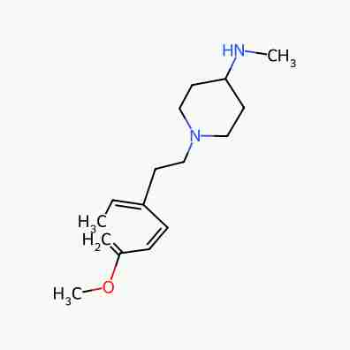 C=C(/C=C\C(=C/C)CCN1CCC(NC)CC1)OC